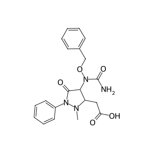 CN1C(CC(=O)O)C(N(OCc2ccccc2)C(N)=O)C(=O)N1c1ccccc1